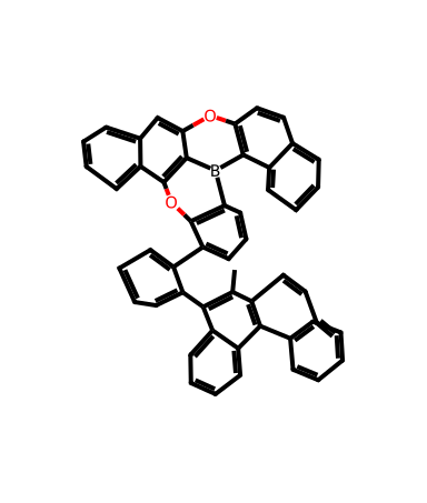 C=C/C=C\c1c(C)c(-c2ccccc2-c2cccc3c2Oc2c4c(cc5ccccc25)Oc2ccc5ccccc5c2B34)c2ccccc2c1-c1ccccc1